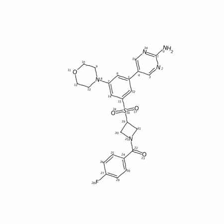 Nc1ncc(-c2cc(N3CCOCC3)cc(S(=O)(=O)C3CN(C(=O)c4ccc(F)cc4)C3)c2)cn1